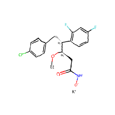 CCO[C@H](CC(=O)N[O-])[C@H](Cc1ccc(Cl)cc1)c1ccc(F)cc1F.[K+]